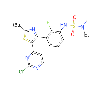 CCN(C)S(=O)(=O)Nc1cccc(-c2nc(C(C)(C)C)sc2-c2ccnc(Cl)n2)c1F